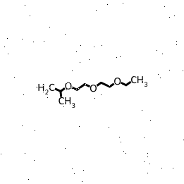 [CH2]C(C)OCCOCCOCC